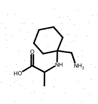 CC(NC1(CN)CCCCC1)C(=O)O